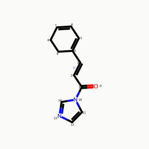 O=C(/C=C/C1=CC=CCC1)n1ccnc1